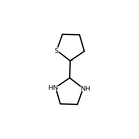 C1CS[C](C2NCCN2)C1